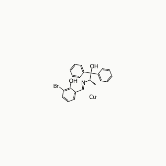 C[C@@H](N=Cc1cccc(Br)c1O)C(O)(c1ccccc1)c1ccccc1.[Cu]